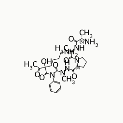 CC(=O)C(O)(CCCCN)C(=O)N(C(=O)N(C)NC(=O)[C@@H]1CCCN1C(=O)[C@H](C)NC(=O)[C@H](C)N)c1ccccc1